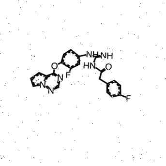 N=C(NC(=O)Cc1ccc(F)cc1)Nc1ccc(Oc2ncnn3cccc23)c(F)c1